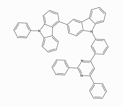 c1ccc(-c2cc(-c3cccc(-n4c5ccccc5c5cc(-c6cccc7c6c6ccccc6n7-c6ccccc6)ccc54)c3)nc(-c3ccccc3)n2)cc1